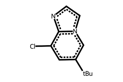 CC(C)(C)c1cc(Cl)c2nccn2c1